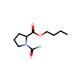 CCCCOC(=O)C1CCCN1C(=O)Cl